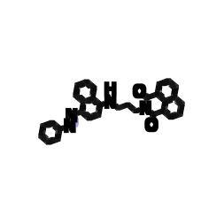 O=C1c2cccc3cccc(c23)C(=O)N1CCCNc1ccc(/N=N/c2ccccc2)c2ccccc12